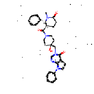 CN1C(=O)CC[C@@H](C(=O)N2CCC(O)(Cn3cnc4c(ccn4-c4ccccc4)c3=O)CC2)[C@@H]1c1ccccc1